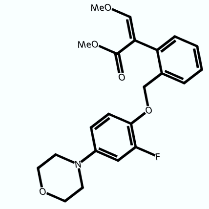 COC=C(C(=O)OC)c1ccccc1COc1ccc(N2CCOCC2)cc1F